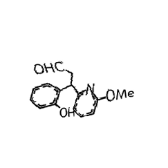 COc1cccc(C(CC=O)c2ccccc2O)n1